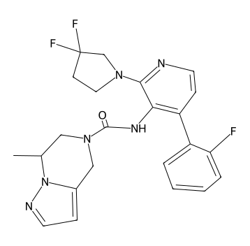 CC1CN(C(=O)Nc2c(-c3ccccc3F)ccnc2N2CCC(F)(F)C2)Cc2ccnn21